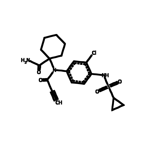 C#CC(=O)N(c1ccc(NS(=O)(=O)C2CC2)c(Cl)c1)C1(C(N)=O)CCCCC1